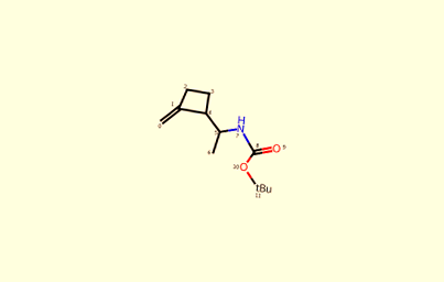 C=C1CCC1C(C)NC(=O)OC(C)(C)C